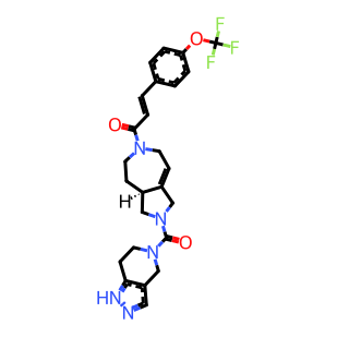 O=C(/C=C/c1ccc(OC(F)(F)F)cc1)N1CC=C2CN(C(=O)N3CCc4[nH]ncc4C3)C[C@H]2CC1